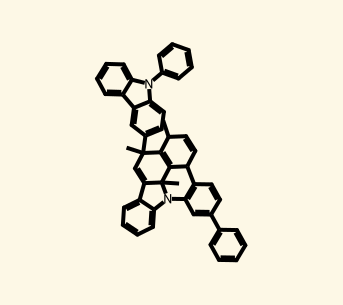 CC1C=CC2C3=C1C(C)(c1ccc4c(c1)c1ccccc1n4-c1ccccc1)C=C1c4ccccc4N(c4cc(-c5ccccc5)ccc42)C13C